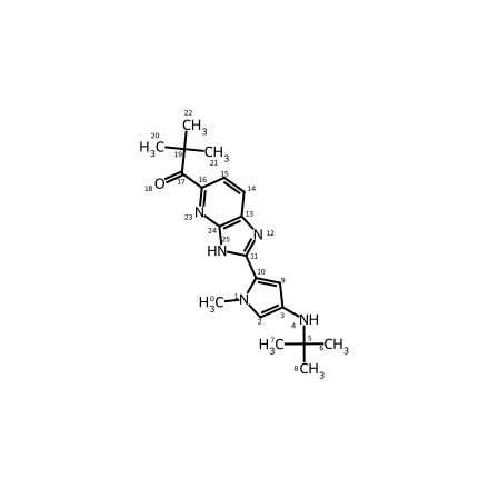 Cn1cc(NC(C)(C)C)cc1-c1nc2ccc(C(=O)C(C)(C)C)nc2[nH]1